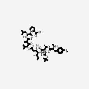 CC[C@H](C)[C@@H](NC(=O)[C@@H](NC(=O)OC(C)(C)C)[C@@H](C)OC(=O)[C@H](Cc1ccc(OC)cc1)NC)[C@@H](O)CC(=O)O[C@H](C(=O)C(C)C(=O)N[C@@H](CC(C)C)C(=O)N1CCC[C@H]1C(=O)O)C(C)C